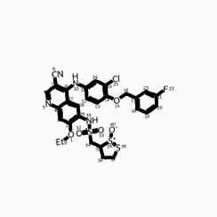 CCOc1cc2ncc(C#N)c(Nc3ccc(OCc4cccc(F)c4)c(Cl)c3)c2cc1NS(=O)(=O)CC1CCS[S+]1[O-]